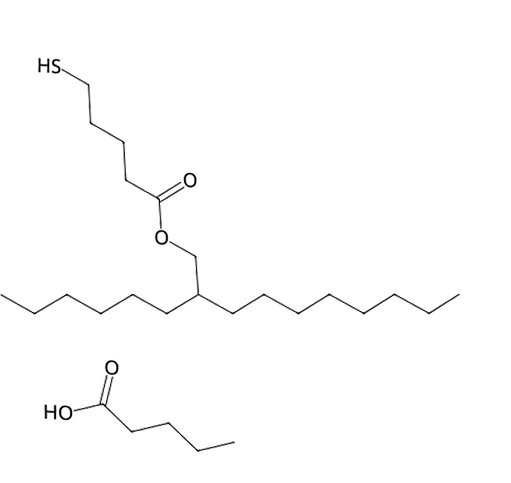 CCCCC(=O)O.CCCCCCCCC(CCCCCC)COC(=O)CCCCS